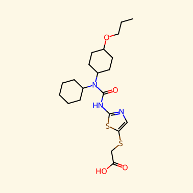 CCCOC1CCC(N(C(=O)Nc2ncc(SCC(=O)O)s2)C2CCCCC2)CC1